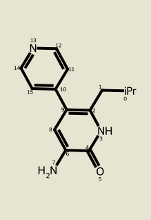 CC(C)Cc1[nH]c(=O)c(N)cc1-c1ccncc1